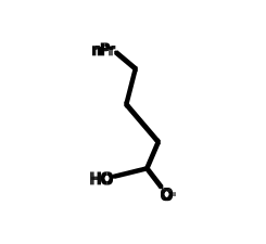 CCCCCCC([O])O